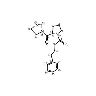 O=C([C@H]1CCCN1C(=O)CCCc1ccccc1)N1CCSC1